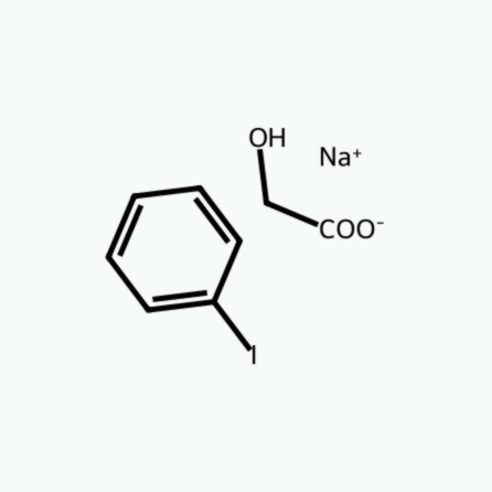 Ic1ccccc1.O=C([O-])CO.[Na+]